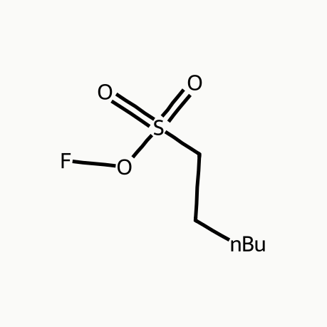 CCCCCCS(=O)(=O)OF